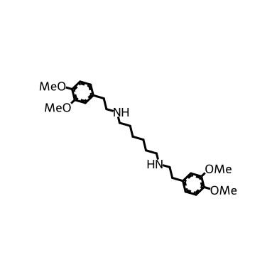 COc1ccc(CCNCCCCCCNCCc2ccc(OC)c(OC)c2)cc1OC